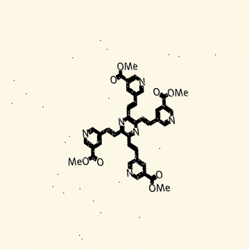 COC(=O)c1cncc(C=Cc2nc(C=Cc3cncc(C(=O)OC)c3)c(C=Cc3cncc(C(=O)OC)c3)nc2C=Cc2cncc(C(=O)OC)c2)c1